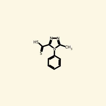 Cc1nnc(C(=S)S)n1-c1ccccc1